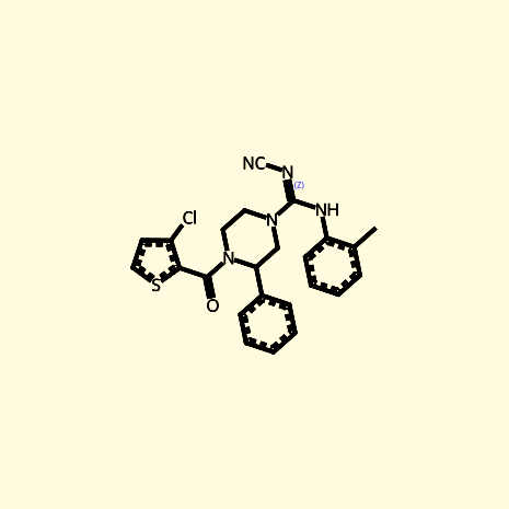 Cc1ccccc1N/C(=N/C#N)N1CCN(C(=O)c2sccc2Cl)C(c2ccccc2)C1